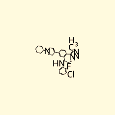 Cc1nnn2c1-c1ccc(C3=CCN(C4CCCCC4)CC3)cc1C(Nc1cccc(Cl)c1F)CC2